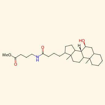 COC(=O)CCCNC(=O)CCCC1CCC2[C@H]3C(CCC12C)C1(C)CCCCC1C[C@@H]3O